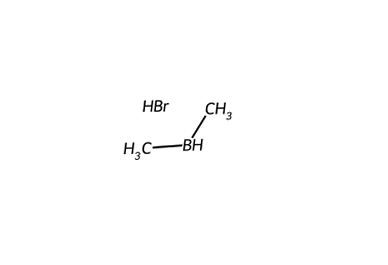 Br.CBC